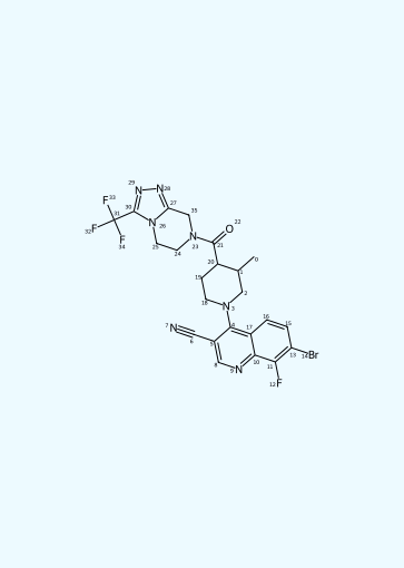 CC1CN(c2c(C#N)cnc3c(F)c(Br)ccc23)CCC1C(=O)N1CCn2c(nnc2C(F)(F)F)C1